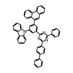 c1ccc(-c2ccc(-c3nc(-c4ccccc4)nc(-c4cc(-c5cc6ccccc6c6ccccc56)cc(-n5c6ccccc6c6ccccc65)c4)n3)cc2)cc1